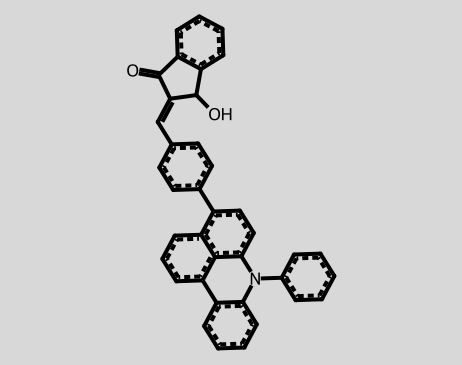 O=C1/C(=C/c2ccc(-c3ccc4c5c(cccc35)-c3ccccc3N4c3ccccc3)cc2)C(O)c2ccccc21